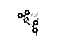 Cl.Cl.Fc1ccc(C(OCCN2CCN(C(c3ccccc3)c3ccccc3)CC2)c2ccc(F)cc2)cc1